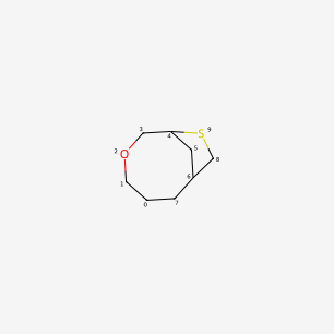 C1COCC2CC(C1)CS2